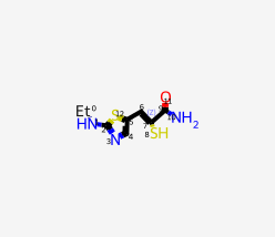 CCNc1ncc(/C=C(\S)C(N)=O)s1